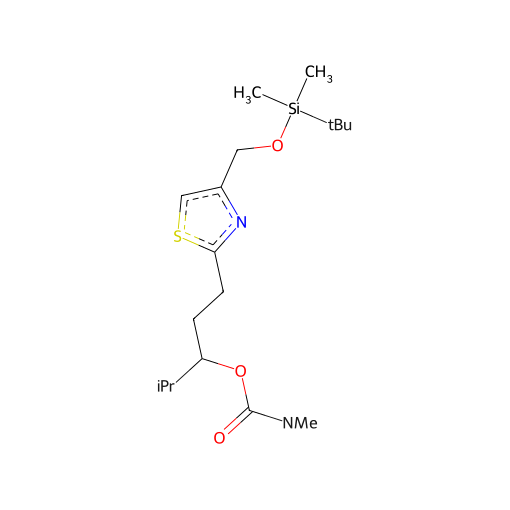 CNC(=O)OC(CCc1nc(CO[Si](C)(C)C(C)(C)C)cs1)C(C)C